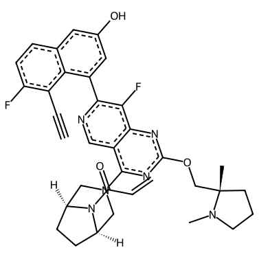 C#Cc1c(F)ccc2cc(O)cc(-c3ncc4c(N5C[C@H]6CC[C@@H](C5)N6C(=O)C=C)nc(OC[C@]5(C)CCCN5C)nc4c3F)c12